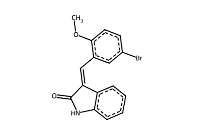 COc1ccc(Br)cc1/C=C1/C(=O)Nc2ccccc21